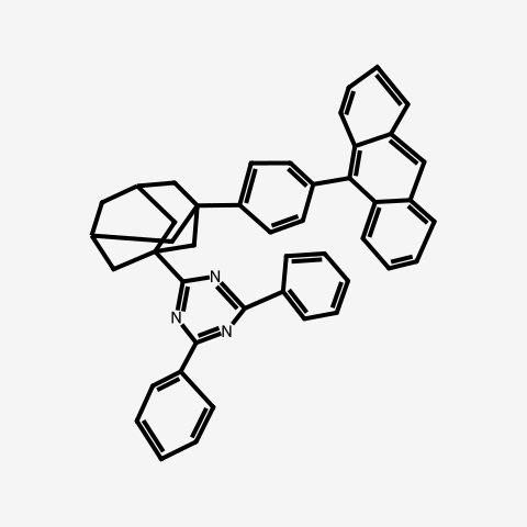 c1ccc(-c2nc(-c3ccccc3)nc(C34CC5CC(CC(c6ccc(-c7c8ccccc8cc8ccccc78)cc6)(C5)C3)C4)n2)cc1